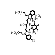 CCCCC1(CCCC)c2c(cccc2[N+](=O)[O-])N(CCC(=O)O)C1/C=C/C(C#N)=C/C=C1/N(CCC(=O)O)c2ccc(CC)cc2C1(C)Cc1c(F)c(F)c(F)c(F)c1F